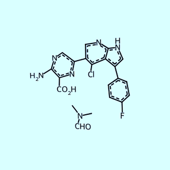 CN(C)C=O.Nc1ncc(-c2cnc3[nH]cc(-c4ccc(F)cc4)c3c2Cl)nc1C(=O)O